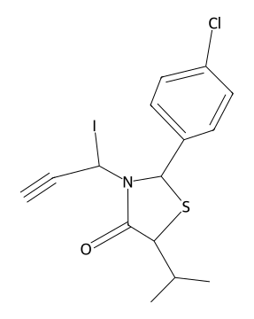 C#CC(I)N1C(=O)C(C(C)C)SC1c1ccc(Cl)cc1